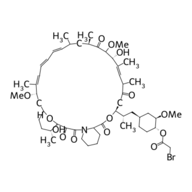 COC1C(=O)[C@H](C)CC(C)/C=C/C=C/C=C(\C)[C@@H](OC)C[C@@H]2CC[C@@H](C)[C@@](O)(O2)C(=O)C(=O)N2CCCCC2C(=O)O[C@H]([C@@H](C)C[C@@H]2CC[C@@H](OC(=O)CBr)[C@H](OC)C2)CC(=O)C(C)/C=C(\C)[C@H]1O